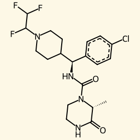 C[C@@H]1C(=O)NCCN1C(=O)N[C@H](c1ccc(Cl)cc1)C1CCN(C(F)C(F)F)CC1